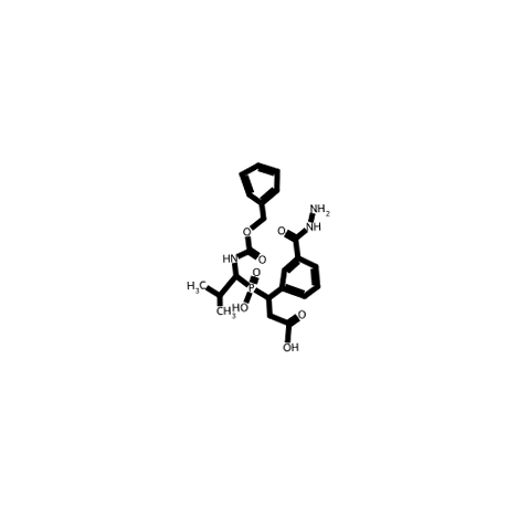 CC(C)C(NC(=O)OCc1ccccc1)P(=O)(O)C(CC(=O)O)c1cccc(C(=O)NN)c1